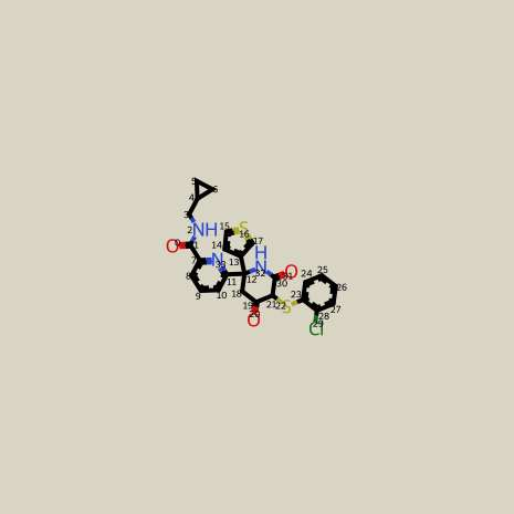 O=C(NCC1CC1)c1cccc(C2(c3ccsc3)CC(=O)C(Sc3ccccc3Cl)C(=O)N2)n1